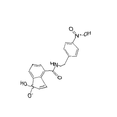 O=C(NCc1ccc([N+](=O)O)cc1)c1cccc2c1C=CS2([O-])O